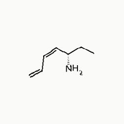 C=C/C=C\[C@@H](N)CC